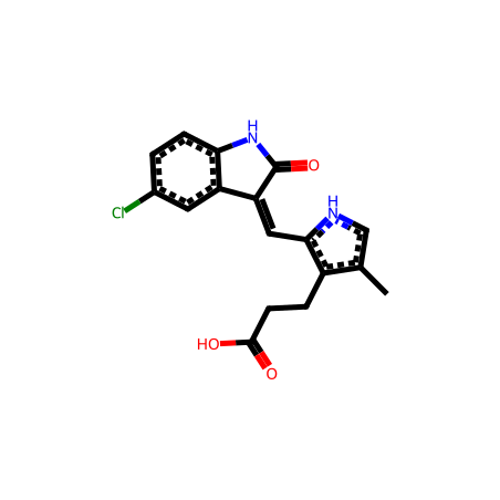 Cc1c[nH]c(C=C2C(=O)Nc3ccc(Cl)cc32)c1CCC(=O)O